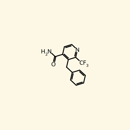 NC(=O)c1ccnc(C(F)(F)F)c1Cc1ccccc1